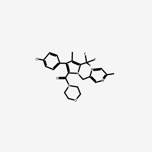 Cc1cnc(Cn2c(C(=O)N3CCOCC3)c(-c3ccc(Cl)cc3)c(C)c2C(F)(F)F)cn1